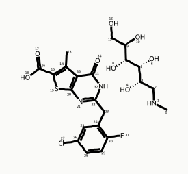 CNC[C@H](O)[C@@H](O)[C@H](O)[C@H](O)CO.Cc1c(C(=O)O)sc2nc(Cc3cc(Cl)ccc3F)[nH]c(=O)c12